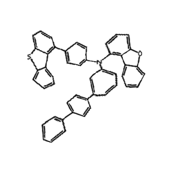 c1ccc(-c2ccc(-c3cccc(N(c4ccc(-c5cccc6sc7ccccc7c56)cc4)c4cccc5oc6ccccc6c45)c3)cc2)cc1